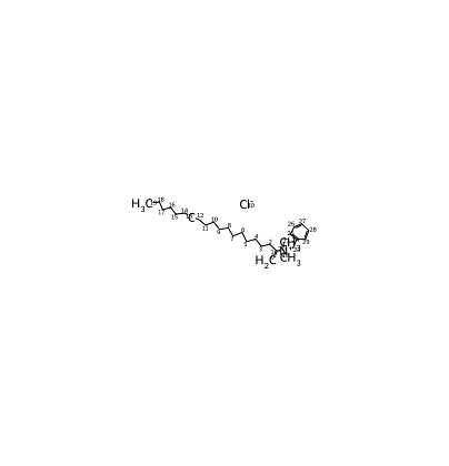 C=C(CCCCCCCCCCCCCCCCCC)[N+](C)(C)Cc1ccccc1.[Cl-]